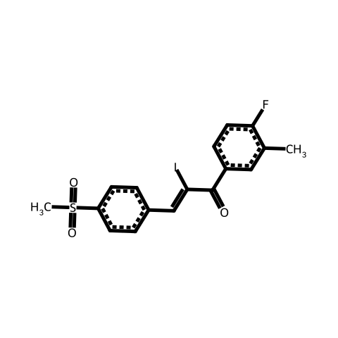 Cc1cc(C(=O)C(I)=Cc2ccc(S(C)(=O)=O)cc2)ccc1F